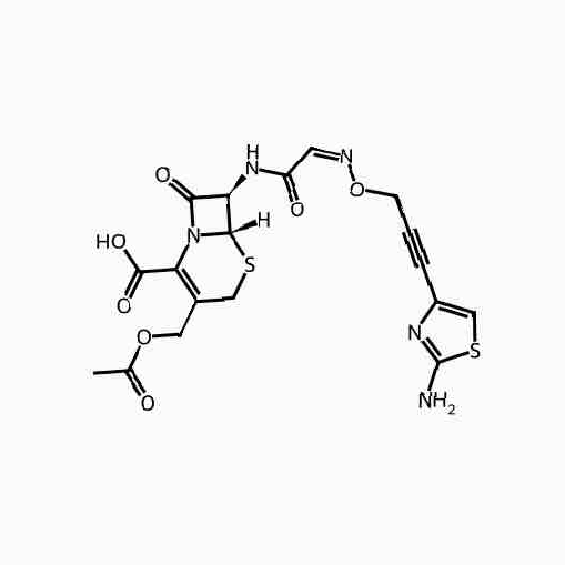 CC(=O)OCC1=C(C(=O)O)N2C(=O)[C@@H](NC(=O)/C=N\OCC#Cc3csc(N)n3)[C@@H]2SC1